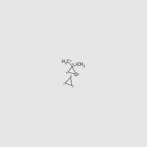 C1CC1.CC1(C)CO1